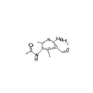 CC(=O)Nc1c(C)nc(N)c(C=O)c1C